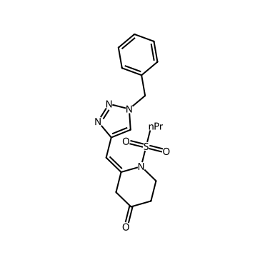 CCCS(=O)(=O)N1CCC(=O)CC1=Cc1cn(Cc2ccccc2)nn1